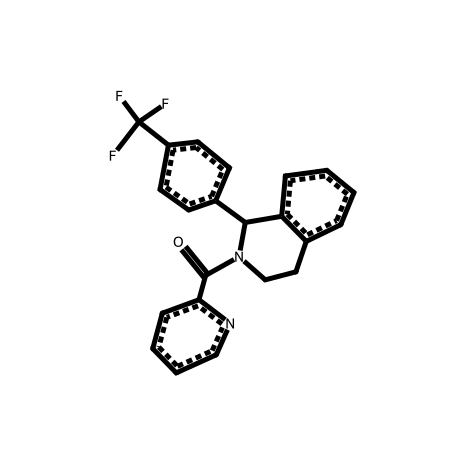 O=C(c1ccccn1)N1CCc2ccccc2C1c1ccc(C(F)(F)F)cc1